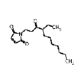 CCCCCCCC(CC)C(=O)CCN1C(=O)C=CC1=O